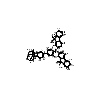 Cc1cc(-c2ccc(C34CC5CC(CC(C5)C3)C4)cc2)ccc1N(c1ccc2c(c1)C(C)(C)c1ccccc1-2)c1ccc2c(c1)C(C)(C)c1ccccc1-2